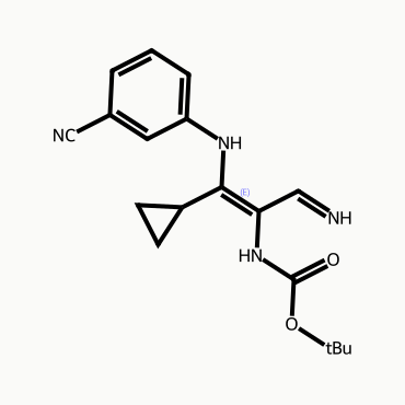 CC(C)(C)OC(=O)N/C(C=N)=C(/Nc1cccc(C#N)c1)C1CC1